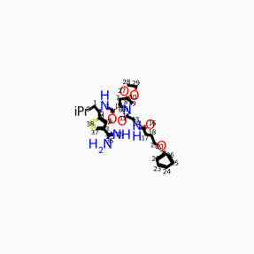 CC(C)CC(NC(=O)[C@@H]1CC2(CN1C(=O)CNC(=O)CCCOc1ccccc1)OCCO2)c1cc(C(=N)N)cs1